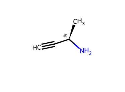 C#C[C@@H](C)N